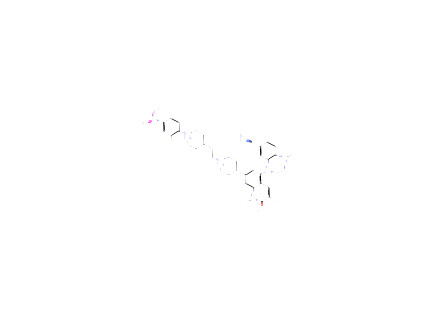 Cc1cc2c(N3CCN(C)c4ccc(C#N)cc43)cc(C3CCN(CCC4CCN(c5ccc([N+](=O)[O-])cc5F)CC4)CC3)cc2n(C)c1=O